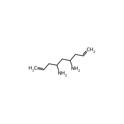 C=CCC(N)CC(N)CC=C